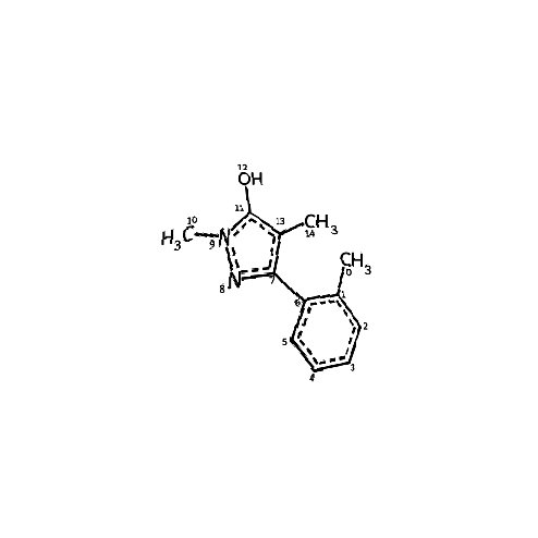 Cc1ccccc1-c1nn(C)c(O)c1C